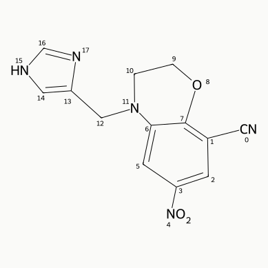 N#Cc1cc([N+](=O)[O-])cc2c1OCCN2Cc1c[nH]cn1